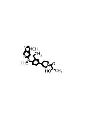 CCc1cc(C2=CCN(C(=O)[C@@H](C)O)CC2)ccc1N(C)c1cc2c(cn1)ncn2C